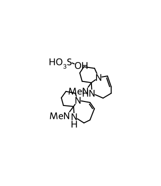 CNC12CCCCN1C=CCCN2.CNC12CCCCN1C=CCCN2.O=S(=O)(O)O